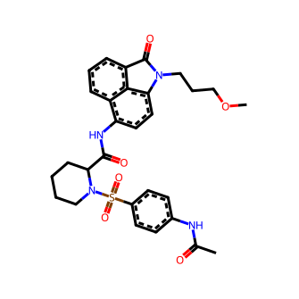 COCCCN1C(=O)c2cccc3c(NC(=O)C4CCCCN4S(=O)(=O)c4ccc(NC(C)=O)cc4)ccc1c23